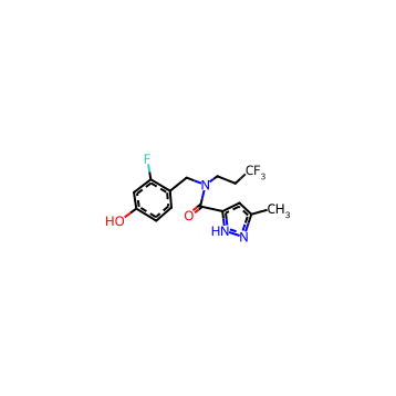 Cc1cc(C(=O)N(CCC(F)(F)F)Cc2ccc(O)cc2F)[nH]n1